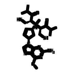 COc1nc(N)nc2c1ncn2[C@H]1C=C[C@@H]([PH](C)([C@H](CS)C(=O)C(C)C)[C@H](CS)C(=O)C(C)C)C1